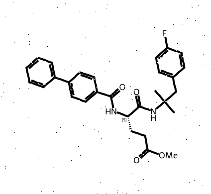 COC(=O)CC[C@H](NC(=O)c1ccc(-c2ccccc2)cc1)C(=O)NC(C)(C)Cc1ccc(F)cc1